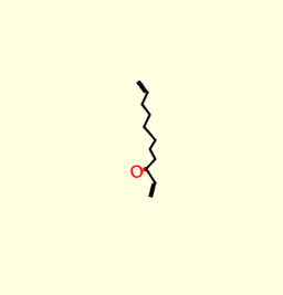 C=CCCCCCCC(=O)C=C